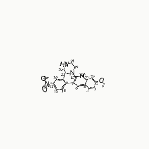 COc1ccc2cc(-c3ccc([N+](=O)[O-])cc3)c(N3CCNCC3)nc2c1